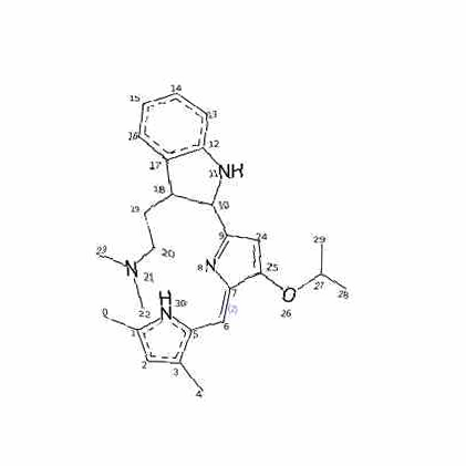 Cc1cc(C)c(/C=C2\N=C(C3Nc4ccccc4C3CCN(C)C)C=C2OC(C)C)[nH]1